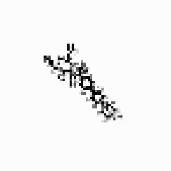 CC(C)C[C@H](N[C@H](c1ccc(-c2ccc(N3CCNCC3)cc2)cc1)C(F)(F)F)C(=O)NCC#N